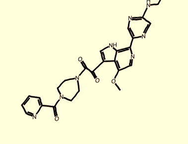 CCNc1cnc(-c2ncc(OC)c3c(C(=O)C(=O)N4CCN(C(=O)c5ccccn5)CC4)c[nH]c23)cn1